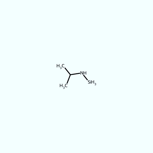 CC(C)N[SiH3]